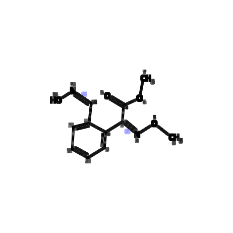 CO/N=C(\C(=O)OC)c1ccccc1/C=N\O